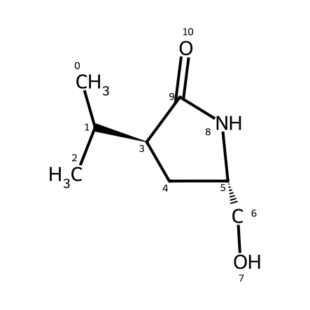 CC(C)[C@@H]1C[C@@H](CO)NC1=O